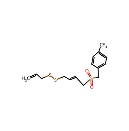 C=CCSSC/C=C/CS(=O)(=O)Cc1ccc(C(F)(F)F)cc1